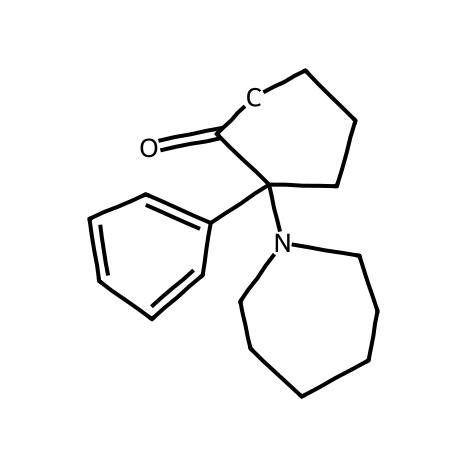 O=C1CCCCC1(c1ccccc1)N1CCCCCC1